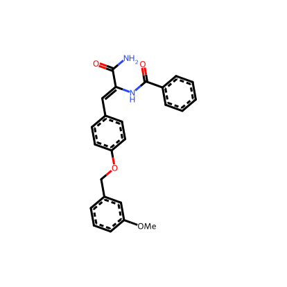 COc1cccc(COc2ccc(C=C(NC(=O)c3ccccc3)C(N)=O)cc2)c1